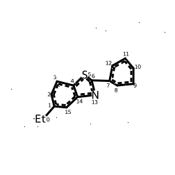 C[CH]c1ccc2sc(-c3ccccc3)nc2c1